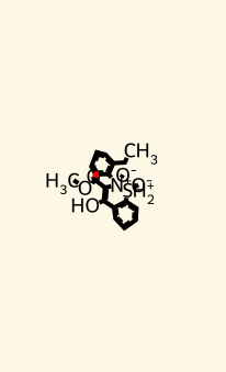 CCc1ccccc1[N+]1([O-])C(C(=O)OC)=C(O)c2ccccc2[SH2+]1[O-]